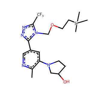 Cc1ncc(-c2nnc(C(F)(F)F)n2COCC[Si](C)(C)C)cc1N1CCC(O)C1